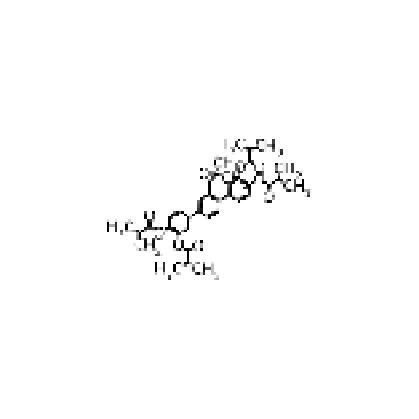 C=C(C)C(=O)Oc1ccc(-c2ccc(-c3ccc(OC(=O)C(=C)C)c(OC(=O)C(=C)C)c3)c(C3OC3(C)C)c2)cc1OC(=O)C(=C)C